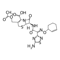 CC(=O)OCC1=C(C(=O)O)N2C(=O)[C@@H](NC(=O)C(=NOC3C=CCCC3)c3nsc(N)n3)[C@H]2SC1